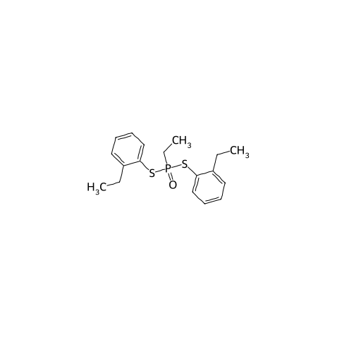 CCc1ccccc1SP(=O)(CC)Sc1ccccc1CC